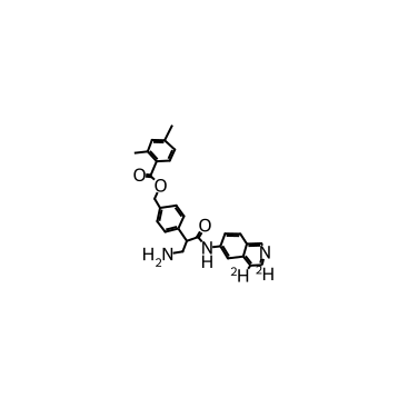 [2H]c1ncc2ccc(NC(=O)C(CN)c3ccc(COC(=O)c4ccc(C)cc4C)cc3)cc2c1[2H]